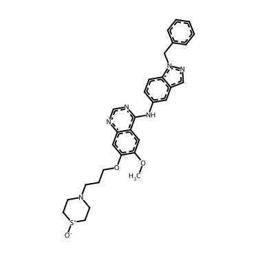 COc1cc2c(Nc3ccc4c(cnn4Cc4ccccc4)c3)ncnc2cc1OCCCN1CC[S+]([O-])CC1